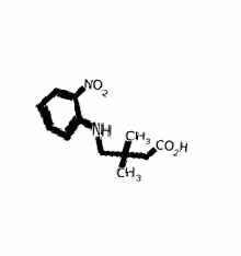 CC(C)(CNc1ccccc1[N+](=O)[O-])CC(=O)O